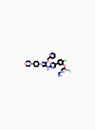 C[C@@H](CNC=N)Oc1cc(-c2cnc(Nc3cn([C@H]4CC[C@H](N5CCOCC5)CC4)nc3OCc3ccccn3)nc2)ccc1Cl